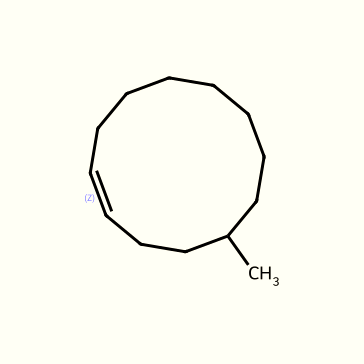 CC1CC/C=C\CCCCCCC1